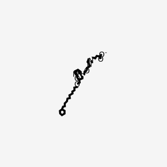 O=C([O-])CCC=[N+]1C=CN(CCOCCSCC(COCCCCCCCCCCCCC2CCCCC2)Oc2ncccn2)C1